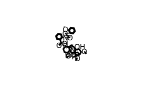 COc1ccccc1S(=O)(=O)Nc1ccccc1C(=O)O[C@@]12CC[C@H](OC)C34C1CC(N3[C@H]2C)[C@@]1(O)CC(OC)C2CC4[C@]1(O)[C@H]2OC